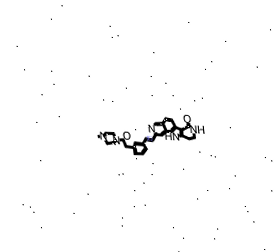 CN1CCN(C(=O)Cc2cccc(/C=C/c3cc4c(ccc5c6c([nH]c54)CCNC6=O)cn3)c2)CC1